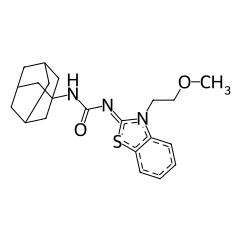 COCCn1/c(=N/C(=O)NC23CC4CC(CC(C4)C2)C3)sc2ccccc21